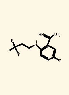 CC(=N)c1cc(F)ccc1NCCC(F)(F)F